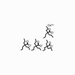 CCCC(CCC)(CCC)C(=O)[O-].CCCC(CCC)(CCC)C(=O)[O-].CCCC(CCC)(CCC)C(=O)[O-].CCCC(CCC)(CCC)C(=O)[O-].[Ge+4]